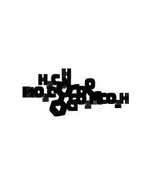 CCOC(=O)C1=C(C)NC(COC(=O)CCC(=O)O)=C(C(=O)OCC)C1c1ccccc1Cl